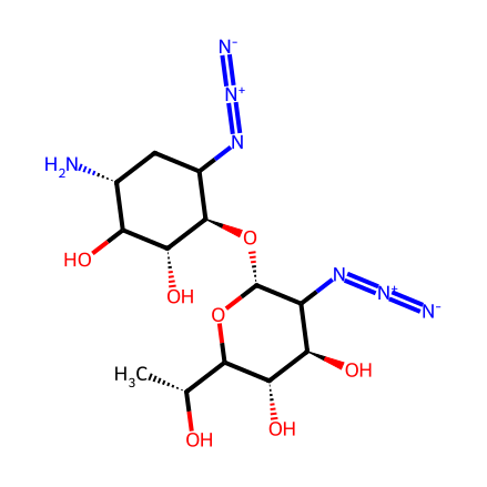 C[C@@H](O)C1O[C@H](O[C@@H]2C(N=[N+]=[N-])C[C@@H](N)C(O)[C@H]2O)C(N=[N+]=[N-])[C@@H](O)[C@@H]1O